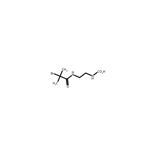 CC(C)(Br)C(=O)NCCNC(=O)O